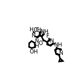 C=c1[nH]cc(C(=O)c2ccc(Nc3ccc(C4CC4)nc3)nc2F)/c1=C(/N=C\C)N[C@@H]1CCC[C@@H](O)C1